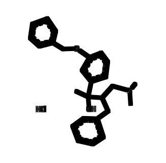 CN(C)CC(Cc1ccccc1)C(C)(O)c1cccc(OCc2ccccc2)c1.Cl